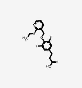 CCSc1ncccc1COc1c(F)cc(CCC(=O)O)cc1F